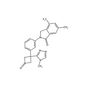 [CH2]c1cc2c(c(C(F)(F)F)c1)CN(c1cccc(C3(c4nncn4C)CC(=O)C3)c1)C2=O